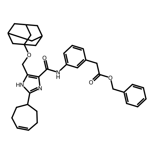 O=C(Cc1cccc(NC(=O)c2nc(C3CCC=CCC3)[nH]c2COC23CC4CC(CC(C4)C2)C3)c1)OCc1ccccc1